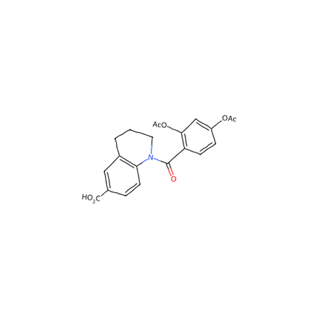 CC(=O)Oc1ccc(C(=O)N2CCCc3cc(C(=O)O)ccc32)c(OC(C)=O)c1